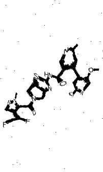 COc1cnc(Cl)cc1-c1cc(C)ncc1C(=O)Nc1nc2c(s1)CN(C(=O)c1c(C(F)F)cnn1C)C2